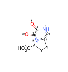 O=C(O)C1CCc2c[nH]c(=O)c(=O)n21